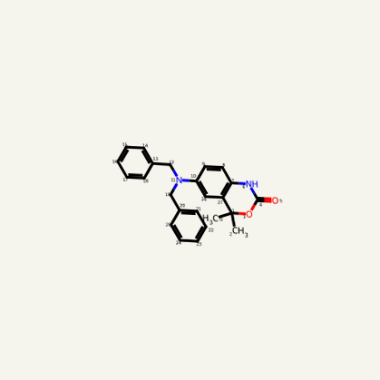 CC1(C)OC(=O)Nc2ccc(N(Cc3ccccc3)Cc3ccccc3)cc21